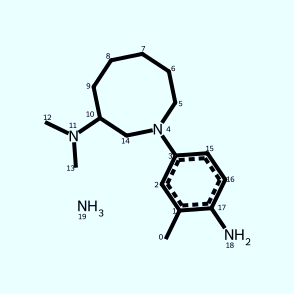 Cc1cc(N2CCCCCC(N(C)C)C2)ccc1N.N